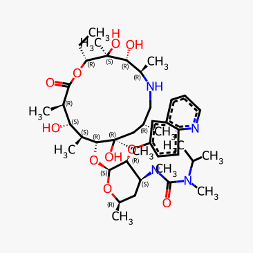 CC[C@H]1OC(=O)[C@H](C)[C@@H](O)[C@H](C)[C@@H](O[C@@H]2O[C@H](C)C[C@H](N(C)C(=O)N(C)C(C)C)[C@H]2Oc2ccc3ncccc3c2)[C@](C)(O)C[C@@H](C)CN[C@H](C)[C@@H](O)[C@]1(C)O